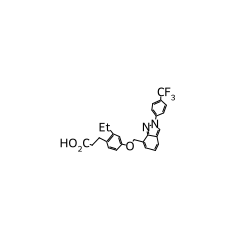 CCc1cc(OCc2cccc3cn(-c4ccc(C(F)(F)F)cc4)nc23)ccc1CCC(=O)O